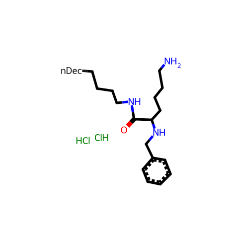 CCCCCCCCCCCCCCNC(=O)C(CCCCN)NCc1ccccc1.Cl.Cl